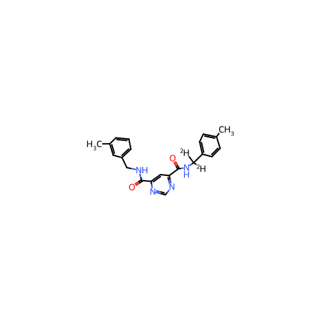 [2H]C([2H])(NC(=O)c1cc(C(=O)NCc2cccc(C)c2)ncn1)c1ccc(C)cc1